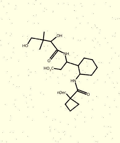 CCCCCCCCCCC1(C(=O)NC2CCCCC2C(CC(=O)O)NC(=O)C(O)C(C)(C)CO)CCC1